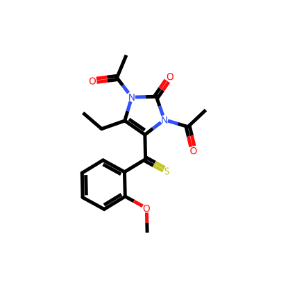 CCc1c(C(=S)c2ccccc2OC)n(C(C)=O)c(=O)n1C(C)=O